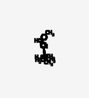 CC(C)(C)[Si](C)(C)C#Cc1ccc([C@]2(O)CC[C@H](C)CC2)cn1